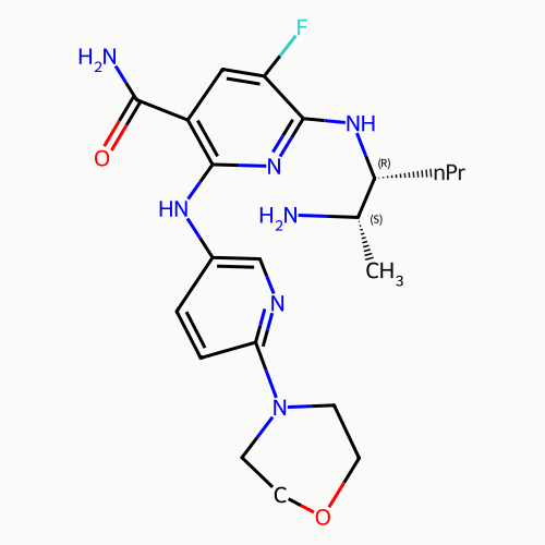 CCC[C@@H](Nc1nc(Nc2ccc(N3CCOCC3)nc2)c(C(N)=O)cc1F)[C@H](C)N